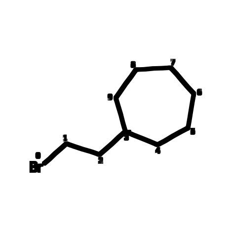 BrCC[C]1CCCCCC1